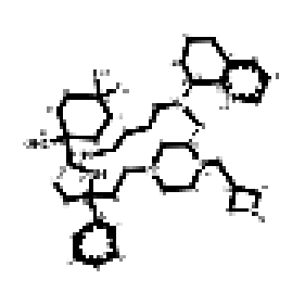 NCCCCN(C[C@H]1CN(CCC(CI)(NCC2(C=O)CCC(F)(F)CC2)c2ccccc2)CCN1CC1COC1)[C@H]1CCCc2cccnc21